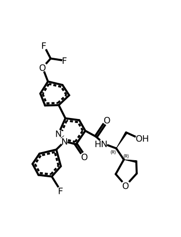 O=C(N[C@@H](CO)[C@H]1CCOC1)c1cc(-c2ccc(OC(F)F)cc2)nn(-c2cccc(F)c2)c1=O